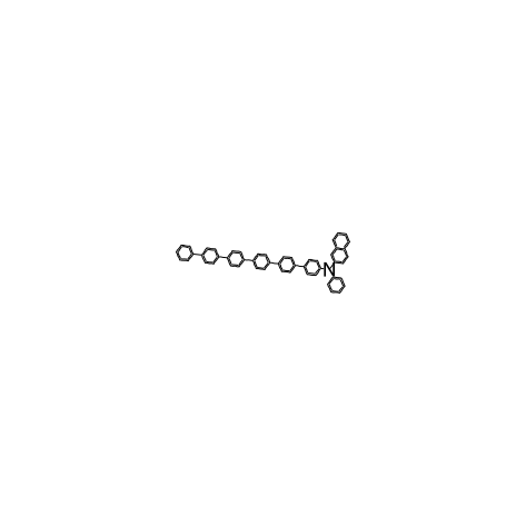 c1ccc(-c2ccc(-c3ccc(-c4ccc(-c5ccc(-c6ccc(N(c7ccccc7)c7ccc8ccccc8c7)cc6)cc5)cc4)cc3)cc2)cc1